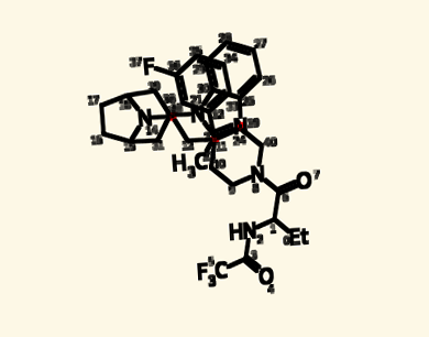 CCC(NC(=O)C(F)(F)F)C(=O)N1CCC(CCN2C3CCC2CC(n2c(C)nc4ccccc42)C3)(c2cccc(F)c2)CC1